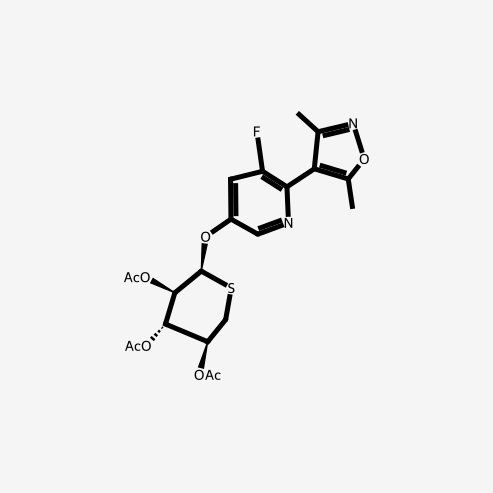 CC(=O)O[C@@H]1[C@@H](OC(C)=O)[C@@H](Oc2cnc(-c3c(C)noc3C)c(F)c2)SC[C@H]1OC(C)=O